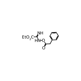 CCOC(=O)C(=N)NOC(=O)Cc1ccccc1